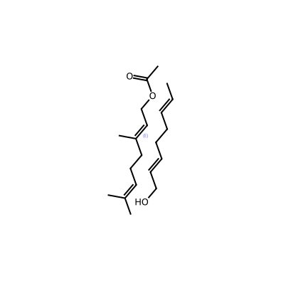 CC(=O)OC/C=C(\C)CCC=C(C)C.CC=CCCC=CCO